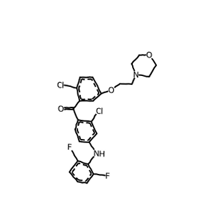 O=C(c1ccc(Nc2c(F)cccc2F)cc1Cl)c1cc(OCCN2CCOCC2)ccc1Cl